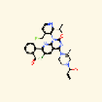 C=CC(=O)N1CCN(c2nc(=O)n(-c3c(CF)ccnc3C(C)C)c3nc(-c4ccccc4C=O)c(Cl)cc23)[C@@H](C)C1